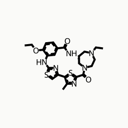 CCOc1ccc(C(N)=O)cc1Nc1nc(-c2sc(C(=O)N3CCCN(CC)CC3)nc2C)cs1